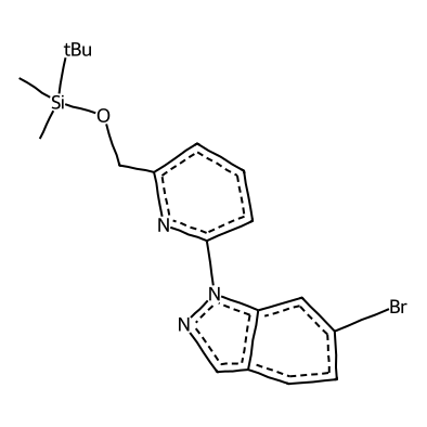 CC(C)(C)[Si](C)(C)OCc1cccc(-n2ncc3ccc(Br)cc32)n1